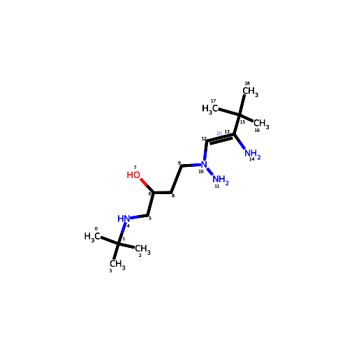 CC(C)(C)NCC(O)CCN(N)/C=C(\N)C(C)(C)C